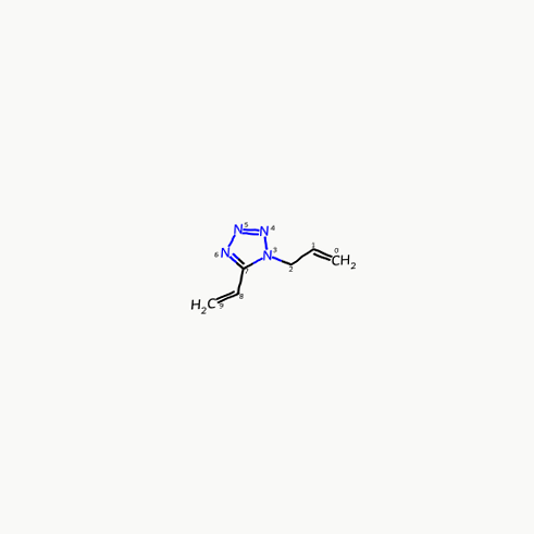 C=CCn1nnnc1C=C